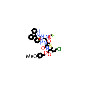 COc1ccc(COC(=O)C2=C(/C=C\CCl)CS[C@H]3[C@H](NC(=O)/C(=N\OCF)c4nsc(NC(c5ccccc5)(c5ccccc5)c5ccccc5)n4)C(=O)N23)cc1